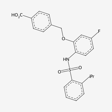 CC(C)c1ccccc1S(=O)(=O)Nc1ccc(F)cc1OCc1ccc(C(=O)O)cc1